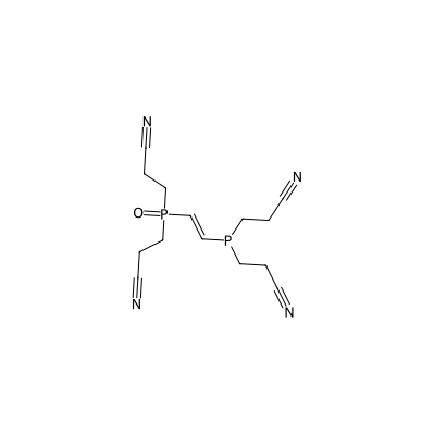 N#CCCP(/C=C/P(=O)(CCC#N)CCC#N)CCC#N